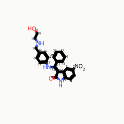 O=C1Nc2ccc([N+](=O)[O-])cc2C1=C(Nc1ccc(CNCCO)cc1)c1ccccc1